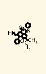 C=C(C)c1cc2c3c(cc(C=N)c4c5ccccc5oc1c43)c(=O)n1c3ccccc3nc21